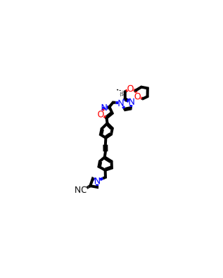 C[C@H](OC1CCCCO1)c1nccn1Cc1cc(-c2ccc(C#Cc3ccc(CN4CC(C#N)C4)cc3)cc2)on1